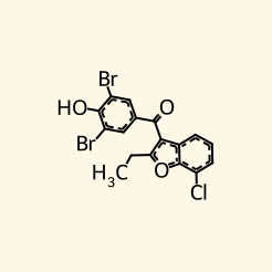 CCc1oc2c(Cl)cccc2c1C(=O)c1cc(Br)c(O)c(Br)c1